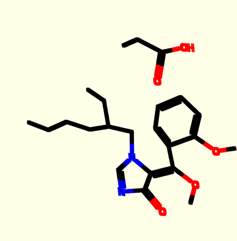 CCC(=O)O.CCCCC(CC)CN1C=NC(=O)C1=C(OC)c1ccccc1OC